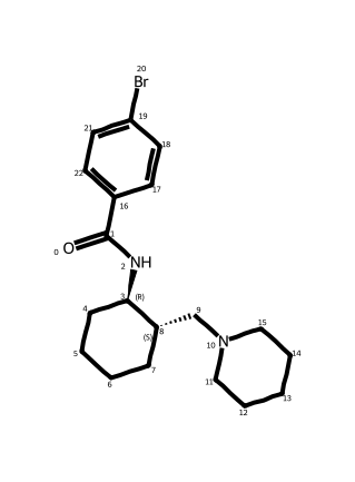 O=C(N[C@@H]1CCCC[C@H]1CN1CCCCC1)c1ccc(Br)cc1